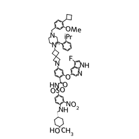 COc1cc(CN2CCN(C3CC4(C3)CN(c3ccc(C(=O)NS(=O)(=O)c5ccc(NC[C@H]6CC[C@](C)(O)CC6)c([N+](=O)[O-])c5)c(Oc5cnc6[nH]cc(F)c6c5)c3)C4)[C@H](c3ccccc3C(C)C)C2)ccc1C1CCC1